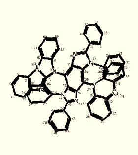 C1=Cc2c(nc3n(-c4c5nc(-c6ccccc6)n(-c6ccccc6)c5c(N5c6ccccc6Oc6ccccc65)c5nc(-c6ccccc6)n(-c6ccccc6)c45)c4ccccc4n23)CC1